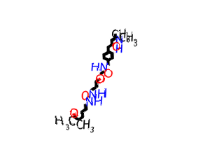 CN/C(C)=C\C(=O)Cc1ccc(CNC(=O)COCCCNC(=O)NCCCCC(C)C(C)=O)cc1